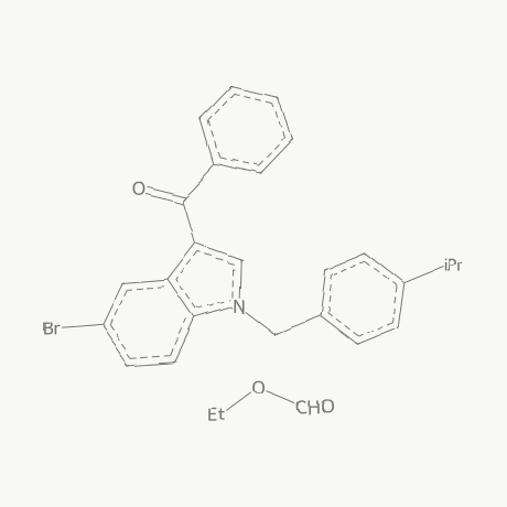 CC(C)c1ccc(Cn2cc(C(=O)c3ccccc3)c3cc(Br)ccc32)cc1.CCOC=O